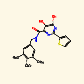 COc1cc(CNC(=O)c2nc(-c3cccs3)nc(O)c2O)cc(OC)c1OC